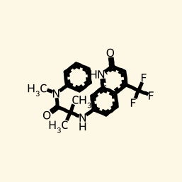 CN(C(=O)C(C)(C)Nc1ccc2c(C(F)(F)F)cc(=O)[nH]c2c1)c1ccccc1